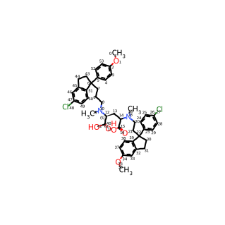 COc1ccc(C2(CCCN(C)[C@@H](CC(C(=O)O)N(C)CCC3(c4ccc(Cl)cc4)CCc4cc(OC)ccc43)C(=O)O)CCc3cc(Cl)ccc32)cc1